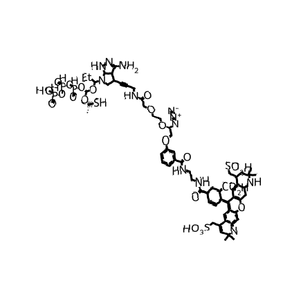 CCC(OC(O[C@@H](C)S)O[PH](=O)O[PH](=O)O[PH](=O)O)N1CC(C#CCNC(=O)COCCOC(COc2cccc(C(=O)NCCNC(=O)C3C=CC(C4=c5cc6c(cc5OC5=C4C=C4C(CS(=O)(=O)O)CC(C)(C)NC4C5)=NC(C)(C)C=C6CS(=O)(=O)O)C(C(=O)O)C3)c2)N=[N+]=[N-])C2C(N)=NNC21